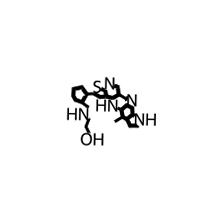 Cc1c(Nc2c(C#N)cnc3sc(-c4ccccc4CNCCCO)cc23)ccc2[nH]ccc12